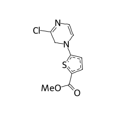 COC(=O)c1ccc(N2C=CN=C(Cl)C2)s1